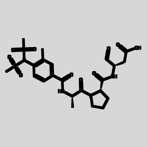 Cc1cc(C(=O)N[C@@H](C)C(=O)N2CCC[C@H]2C(=O)N[C@H](C=O)CC(=O)O)ccc1N(S(C)(=O)=O)S(C)(=O)=O